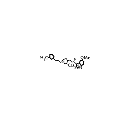 COc1ccc2nccc([C@@H](F)CC[C@@H]3CCN(CCCc4cccc(C)c4)C[C@@H]3C(=O)O)c2c1